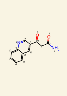 NC(=O)CC(=O)c1cnc2ccccc2c1